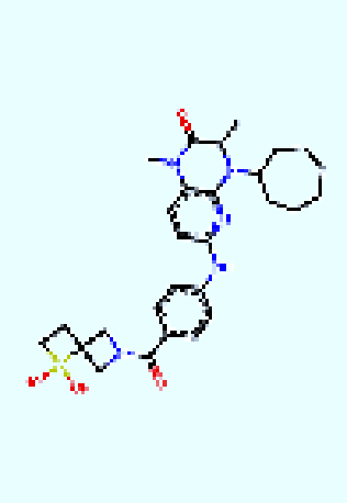 C[C@@H]1C(=O)N(C)c2ccc(Nc3ccc(C(=O)N4CC5(CCS5(O)O)C4)cc3)nc2N1C1CCCCCC1